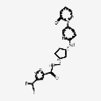 O=C(NC[C@@H]1CC[C@H](Nc2ccc(-n3ncccc3=O)cn2)C1)c1cc(C(F)F)no1